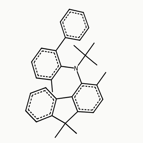 Cc1cccc(-c2ccccc2)c1N(c1c(C)ccc2c1-c1ccccc1C2(C)C)C(C)(C)C